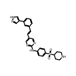 O=S(=O)(c1ccc(Nc2ncc(C=Cc3cccc(-c4cn[nH]c4)c3)cn2)cc1)C1CCNCC1